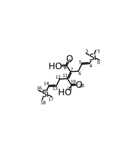 C[Si](C)(C)C=CCC(C(=O)O)=C(CC=C[Si](C)(C)C)C(=O)O